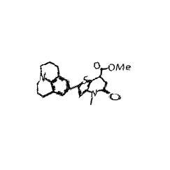 COC(=O)C1CC(=O)N(C)c2cc(-c3cc4c5c(c3)CCCN5CCC4)sc21